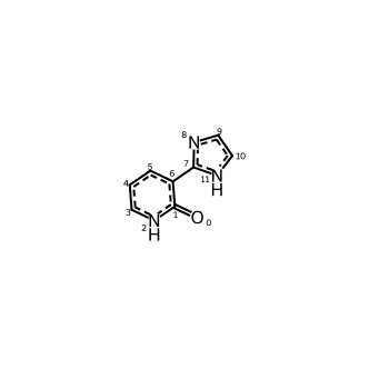 O=c1[nH]cccc1-c1ncc[nH]1